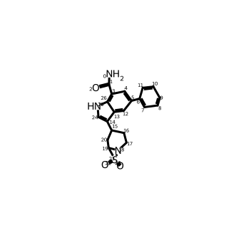 NC(=O)c1cc(-c2ccccc2)cc2c(C3CCN4C(C3)S4(=O)=O)c[nH]c12